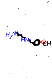 COc1ccc(CCNCCCCCN)cc1